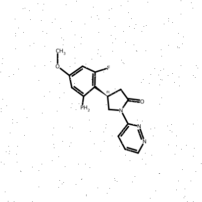 COc1cc(F)c([C@H]2CC(=O)N(c3cccnn3)C2)c(P)c1